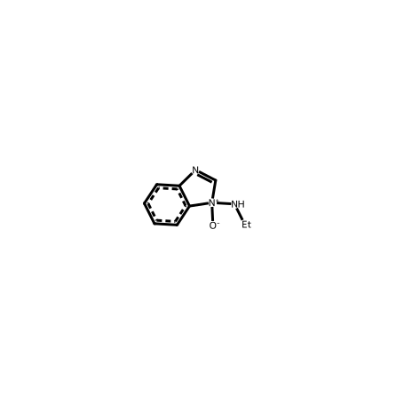 [CH2]CN[N+]1([O-])C=Nc2ccccc21